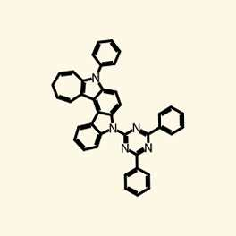 C1=Cc2c(n(-c3ccccc3)c3ccc4c(c5ccccc5n4-c4nc(-c5ccccc5)nc(-c5ccccc5)n4)c23)C=CC1